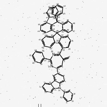 C=C1C=C(c2ccc3c(c2)c2ccccc2n3-c2ccccc2)N=C(c2ccccc2)N=C1c1cccc(C2(c3ccccc3)c3ccccc3C3(c4ccccc4)c4ccccc4-c4cccc2c43)c1